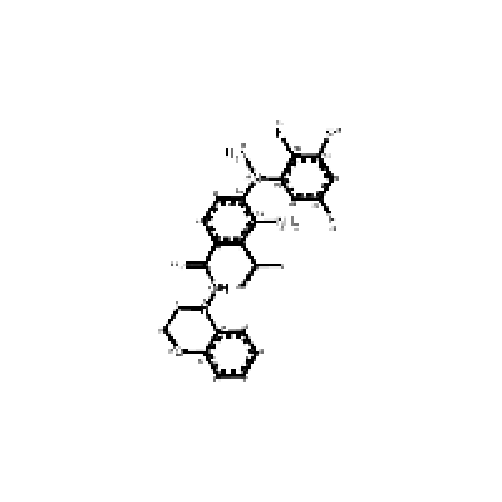 CC(C)c1c(C(=O)NN2CCOc3ccccc32)ccc(N(N)c2cc(F)cc(F)c2F)c1N